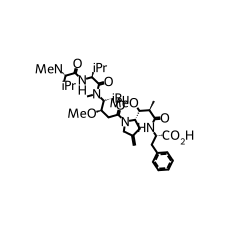 C=C1C[C@@H](C(OC)[C@@H](C)C(=O)N[C@@H](Cc2ccccc2)C(=O)O)N(C(=O)C[C@@H](OC)C([C@@H](C)CC)N(C)C(=O)[C@@H](NC(=O)[C@@H](NC)C(C)C)C(C)C)C1